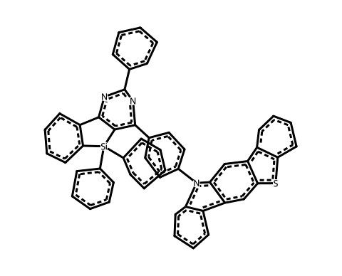 c1ccc(-c2nc(-c3ccc(-n4c5ccccc5c5cc6sc7ccccc7c6cc54)cc3)c3c(n2)-c2ccccc2[Si]3(c2ccccc2)c2ccccc2)cc1